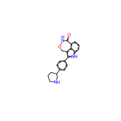 O=C1NOCc2c(-c3ccc(C4CCCNC4)cc3)[nH]c3cccc1c23